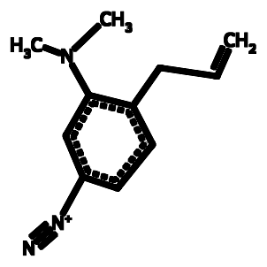 C=CCc1ccc([N+]#N)cc1N(C)C